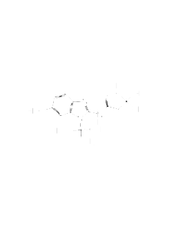 Cc1ccc2nc(NC(=O)CC(C)(C)O)n(C(C)(C)C)c2c1